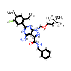 COc1cc(CC(F)(F)F)c(-c2nc(N)c3c(C(=O)NCc4ccccc4)nn(COCC[Si](C)(C)C)c3n2)cc1F